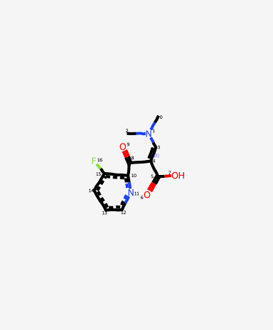 CN(C)/C=C(/C(=O)O)C(=O)c1ncccc1F